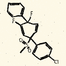 CS(=O)(=O)C1(c2ccc(Cl)cc2)C=CC(F)(c2ccccc2)C(F)=C1